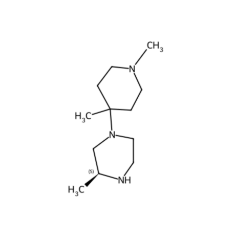 C[C@H]1CN(C2(C)CCN(C)CC2)CCN1